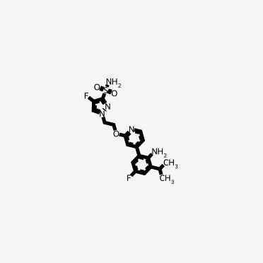 CC(C)c1cc(F)cc(-c2ccnc(OCCn3cc(F)c(S(N)(=O)=O)n3)c2)c1N